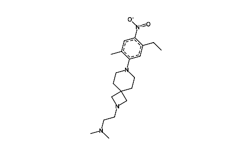 CCc1cc(N2CCC3(CC2)CN(CCN(C)C)C3)c(C)cc1[N+](=O)[O-]